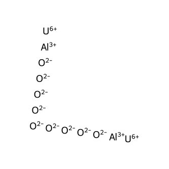 [Al+3].[Al+3].[O-2].[O-2].[O-2].[O-2].[O-2].[O-2].[O-2].[O-2].[O-2].[U+6].[U+6]